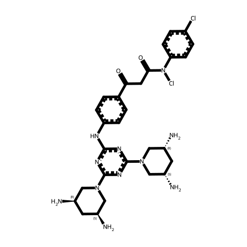 N[C@@H]1C[C@H](N)CN(c2nc(Nc3ccc(C(=O)CC(=O)N(Cl)c4ccc(Cl)cc4)cc3)nc(N3C[C@H](N)C[C@H](N)C3)n2)C1